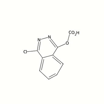 O=C(O)Oc1nnc(Cl)c2ccccc12